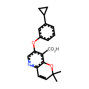 CC1(C)C=Cc2ncc(Oc3cccc(C4CC4)c3)c(C(=O)O)c2O1